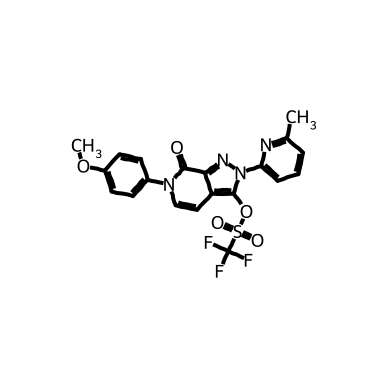 COc1ccc(-n2ccc3c(OS(=O)(=O)C(F)(F)F)n(-c4cccc(C)n4)nc3c2=O)cc1